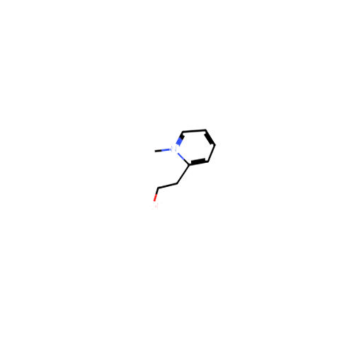 C[n+]1ccccc1CCO